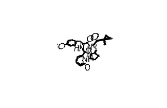 COc1ccc(C[C@H](NC(=O)c2cccc(=O)[nH]2)C(=O)N[C@@H](CC2CCCC2)C(=O)C2(C)CC2)cc1